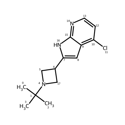 CC(C)(C)N1CC(c2cc3c(Cl)ccnc3[nH]2)C1